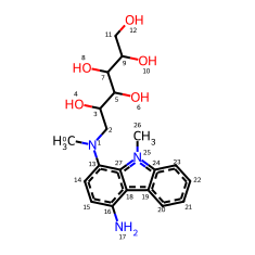 CN(CC(O)C(O)C(O)C(O)CO)c1ccc(N)c2c3ccccc3n(C)c12